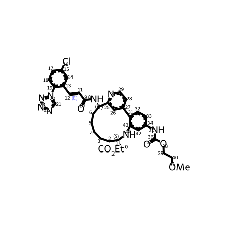 CCOC(=O)[C@@H]1CCCCC[C@H](NC(=O)/C=C/c2cc(Cl)ccc2-n2cnnn2)c2cc(ccn2)-c2ccc(NC(=O)OCCOC)cc2N1